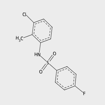 Cc1c(Cl)cccc1NS(=O)(=O)c1ccc(F)cc1